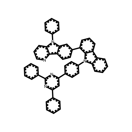 c1ccc(-c2cc(-c3ccc(-n4c5ccccc5c5cccc(-c6ccc7c8ncccc8n(-c8ccccc8)c7c6)c54)cc3)nc(-c3ccccc3)n2)cc1